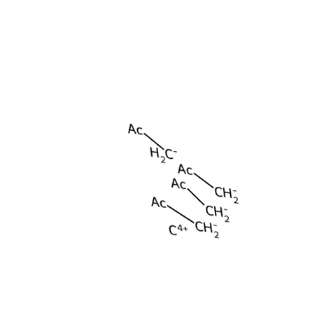 [C+4].[CH2-]C(C)=O.[CH2-]C(C)=O.[CH2-]C(C)=O.[CH2-]C(C)=O